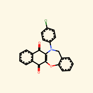 O=C1C2=C(C(=O)c3ccccc31)N(c1ccc(Cl)cc1)Cc1ccccc1O2